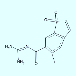 Cc1cc2c(cc1C(=O)N=C(N)N)S(=O)(=O)C=C2